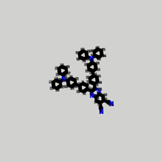 N#Cc1cc2nc(-c3ccc(-c4ccc(N(c5ccccc5)c5ccccc5)cc4)cc3)c(-c3ccc(-c4ccc(N(c5ccccc5)c5ccccc5)cc4)cc3)nc2cc1C#N